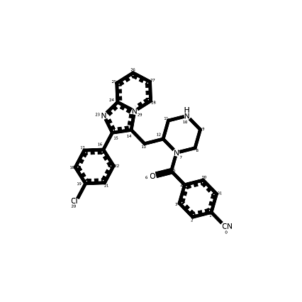 N#Cc1ccc(C(=O)N2CCNCC2Cc2c(-c3ccc(Cl)cc3)nc3ccccn23)cc1